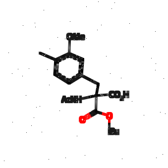 CCC(C)OC(=O)C(Cc1ccc(C)c(OC)c1)(NC(C)=O)C(=O)O